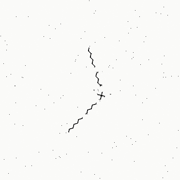 CCCCCCCOC(=O)CCCC(=O)OCC(COC)(COC)COC(=O)CCCC(=O)OCCCCCCC